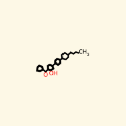 CCCCCC1CCC(c2ccc(-c3ccc(C(=O)c4ccccc4)c(O)c3)cc2)CC1